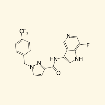 O=C(Nc1c[nH]c2c(F)cncc12)c1ccn(Cc2ccc(C(F)(F)F)cc2)n1